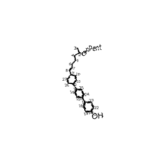 CCCCCOC(C)CCCC=Cc1ccc(-c2ccc(-c3ccc(O)cc3)cc2)cc1